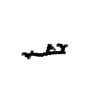 CC(C)CCC(COC(=O)CCCCCCCCCC(CCCCCCCCCC(=O)OCC(CCC(C)C)C(C)C)OCCN(C)C)C(C)C